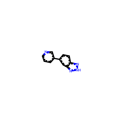 c1cncc(-c2ccc3n[nH]nc3c2)c1